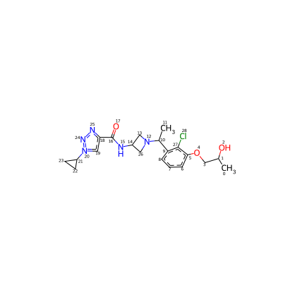 CC(O)COc1cccc(C(C)N2CC(NC(=O)c3cn(C4CC4)nn3)C2)c1Cl